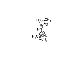 CO[Si](C)(C)CC(=O)NCNC(=O)C(C)C